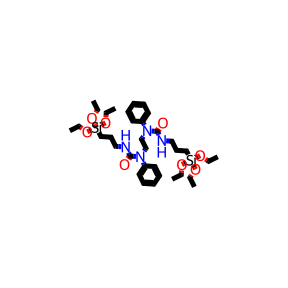 CCO[Si](CCCNC(=O)N(CCN(C(=O)NCCC[Si](OCC)(OCC)OCC)c1ccccc1)c1ccccc1)(OCC)OCC